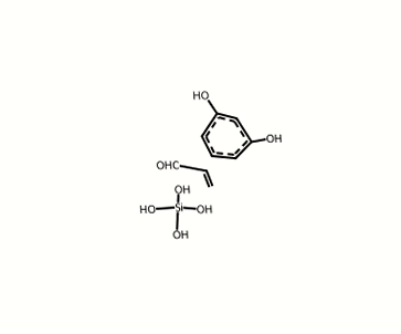 C=CC=O.O[Si](O)(O)O.Oc1cccc(O)c1